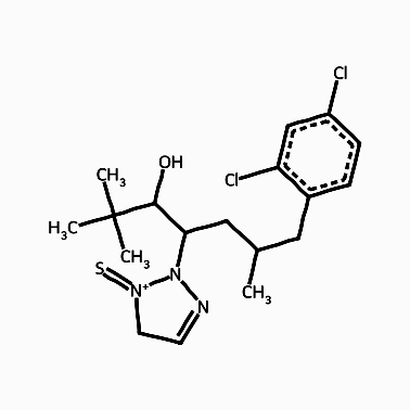 CC(Cc1ccc(Cl)cc1Cl)CC(C(O)C(C)(C)C)N1N=CC[N+]1=S